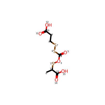 CC(SOC(=O)SSCCC(=O)O)C(=O)O